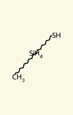 CCCCCCCCCCCCCCCCCCS.[SiH4]